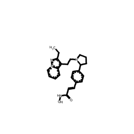 CCc1nn2ccccc2c1CCN1CCCC1c1ccc(C=CC(=O)NO)cc1